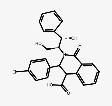 O=C(O)C1c2ccccc2C(=O)N([C@@H](CO)[C@@H](O)c2ccccc2)C1c1ccc(Cl)cc1